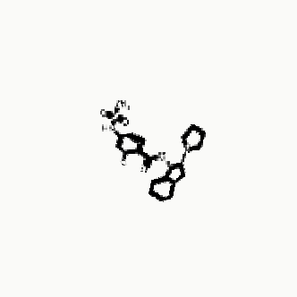 CS(=O)(=O)Nc1ccc(C(=O)O[C@H]2c3ccccc3C[C@@H]2N2CCCC2)c(Cl)c1